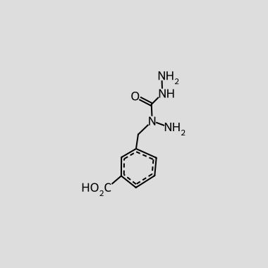 NNC(=O)N(N)Cc1cccc(C(=O)O)c1